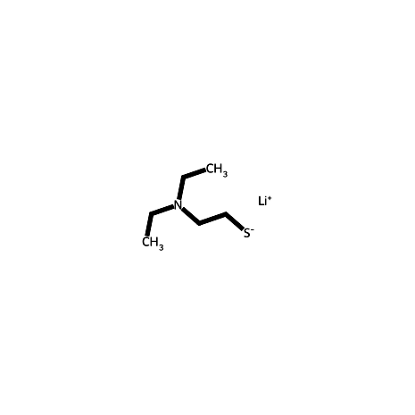 CCN(CC)CC[S-].[Li+]